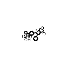 O=C(O)NC1(c2ccc(-c3nc4c(cc3-c3ccccc3)C(=O)COC4)cc2)CCC1